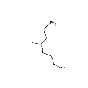 CC(C)CCCC(C)CCP